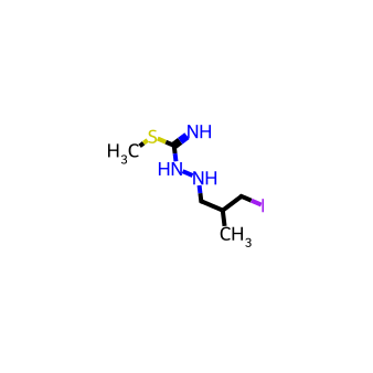 CSC(=N)NNCC(C)CI